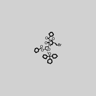 O=C(O[C@H]1C[C@H](n2cc(/C=C/Br)c(=O)n(C(=O)c3ccccc3)c2=O)O[C@@H]1COC(c1ccccc1)(c1ccccc1)c1ccccc1)c1ccccc1